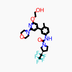 Cc1ccc(NC(=O)N2CC[C@@H](C(F)(F)C(F)(F)F)C2)cc1-c1cc(OCCO)nc(N2CCOCC2)c1